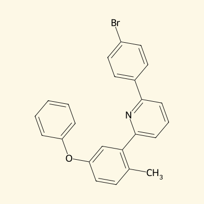 Cc1ccc(Oc2ccccc2)cc1-c1cccc(-c2ccc(Br)cc2)n1